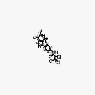 CCNC(=O)c1cnn(-c2ccc(NC(=O)C(Cl)=C(Cl)Cl)cc2)c1C(F)(F)F